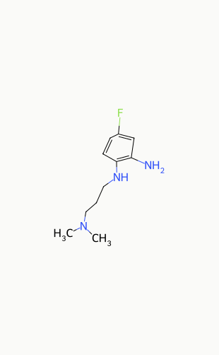 CN(C)CCCNc1ccc(F)cc1N